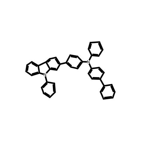 c1ccc(-c2ccc(N(c3ccccc3)c3ccc(-c4ccc5c6ccccc6n(-c6ccccc6)c5c4)cc3)cc2)cc1